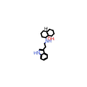 O[C@@]12CCCC[C@@H]1CCC[C@@H]2NCCc1c[nH]c2ccccc12